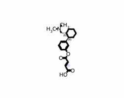 CN(C)C[C@@H]1CCCC[C@H]1c1cccc(OC(=O)/C=C/C(=O)O)c1